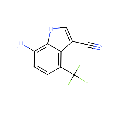 N#Cc1c[nH]c2c(N)ccc(C(F)(F)F)c12